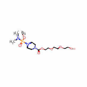 CCC(C)OP(=O)(N(C)C)N1CCN(C(=O)OCCOCCOCCO)CC1